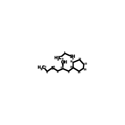 CCS.CCSC[C@@H](O)CC1CCCCC1